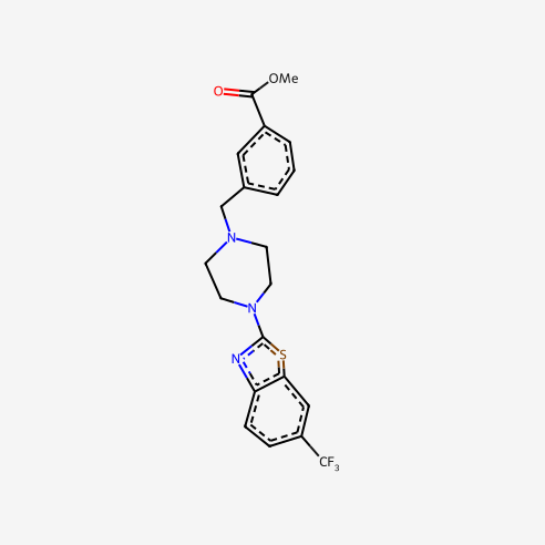 COC(=O)c1cccc(CN2CCN(c3nc4ccc(C(F)(F)F)cc4s3)CC2)c1